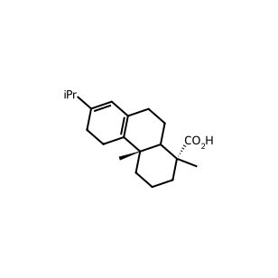 CC(C)C1=CC2=C(CC1)[C@@]1(C)CCC[C@@](C)(C(=O)O)C1CC2